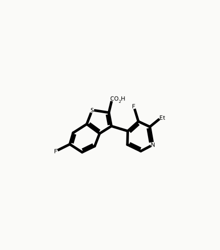 CCc1nccc(-c2c(C(=O)O)sc3cc(F)ccc23)c1F